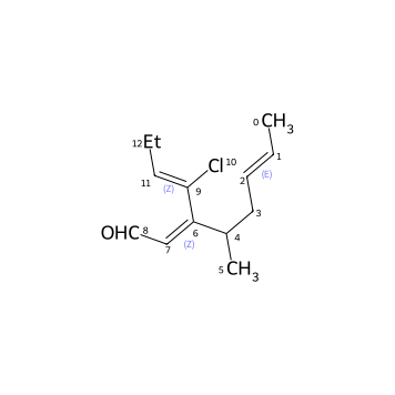 C/C=C/CC(C)C(=C/C=O)/C(Cl)=C/CC